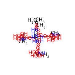 CC(=O)NC1C(OCCOCCOCCNC(=O)CCC(CCC(=O)NCCOCCOCCOC2OC(CO)C(O)C(O)C2NC(C)=O)(CCC(=O)NCCOCCOCCOC2OC(CO)C(O)C(O)C2NC(C)=O)NC(=O)CCCC(=O)NCOCOC2(C)CCC(C(C)C)CC2)OC(CO)C(O)C1O